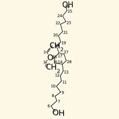 C=COC=C.OCCCCCCCCC1CCC(CCCCCCCCO)CC1